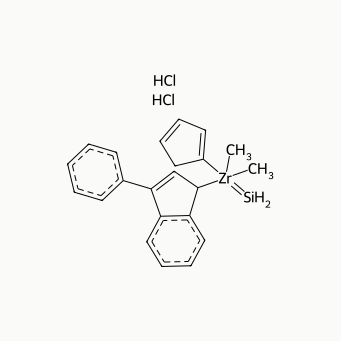 Cl.Cl.[CH3][Zr]([CH3])(=[SiH2])([C]1=CC=CC1)[CH]1C=C(c2ccccc2)c2ccccc21